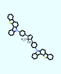 CC1(C)C(c2ccc(-n3c4ccccc4c4c5sc6ccccc6c5ccc43)cc2)=CC=C1c1ccc(-n2c3ccccc3c3c4sc5ccccc5c4ccc32)cc1